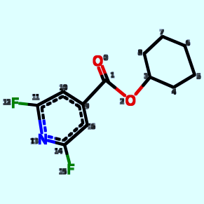 O=C(OC1CCCCC1)c1cc(F)nc(F)c1